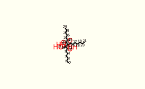 CCCCCCC(=O)C(O)(CO)C(O)(C(=O)CCCCCC)C(=O)CCCCCC